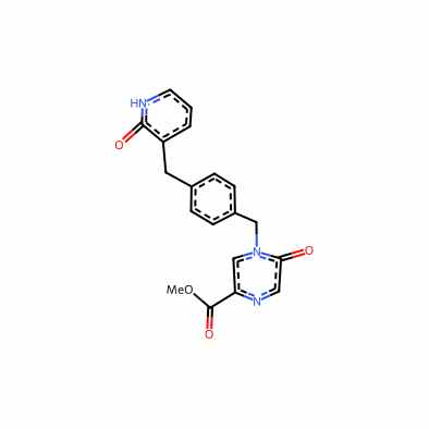 COC(=O)c1cn(Cc2ccc(Cc3ccc[nH]c3=O)cc2)c(=O)cn1